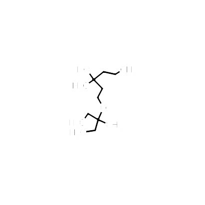 CCCC(C)(O)CCOC(C)(CC)CC